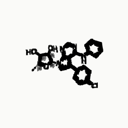 C[C@H]1O[C@@H](n2cc(-c3ccc(Cl)cc3)c3c(Nc4ccccc4)ncnc32)[C@H](O)[C@@H]1O